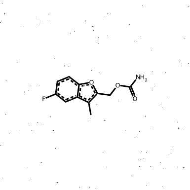 Cc1c(COC(N)=O)oc2ccc(F)cc12